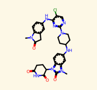 CN1C(=O)Cc2cc(Nc3nc(N4CCC(Nc5ccc6c(c5)n(C)c(=O)n6C5CCC(=O)NC5=O)CC4)ncc3Cl)ccc21